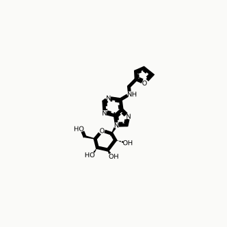 OC[C@H]1O[C@@H](n2cnc3c(NCc4ccco4)ncnc32)[C@H](O)[C@@H](O)[C@@H]1O